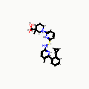 Cc1ccc(NSc2cccc(N3CCCC(C)(C(=O)O)C3)n2)nc1-c1ccccc1C1CC1